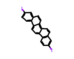 Ic1ccc2c(ccc3c2ccc2c4ccc(I)cc4ccc23)c1